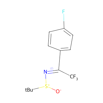 CC(C)(C)[S+]([O-])/N=C(/c1ccc(F)cc1)C(F)(F)F